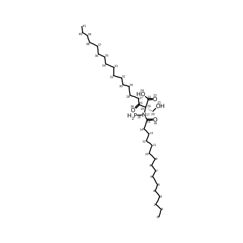 CCCCCCCCCCCCCCCC(=O)N(P)[C@](CO)(C(=O)O)C(=O)CCCCCCCCCCCCCCC